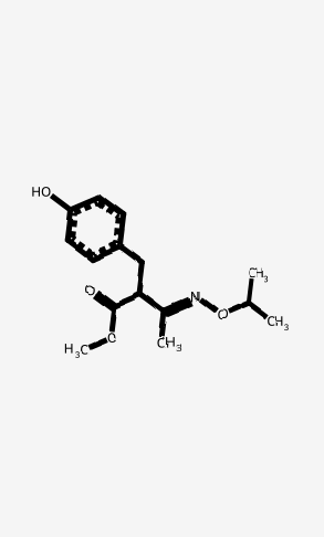 COC(=O)C(Cc1ccc(O)cc1)C(C)=NOC(C)C